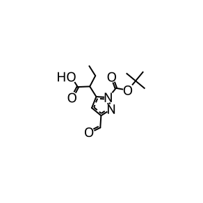 CCC(C(=O)O)c1cc(C=O)nn1C(=O)OC(C)(C)C